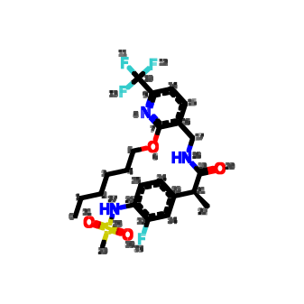 CCCCCCOc1nc(C(F)(F)F)ccc1CNC(=O)[C@@H](C)c1ccc(NS(C)(=O)=O)c(F)c1